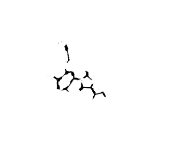 C#CCOc1cc(N2C(=O)OC(=C(C)CC)C2=O)c(F)cc1Br